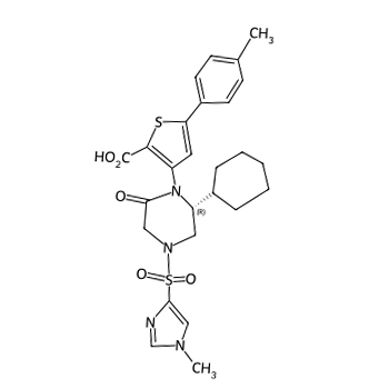 Cc1ccc(-c2cc(N3C(=O)CN(S(=O)(=O)c4cn(C)cn4)C[C@H]3C3CCCCC3)c(C(=O)O)s2)cc1